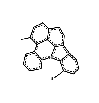 Brc1cccc2c3ccc4ccc(I)c5c6ccccc6n(c12)c3c45